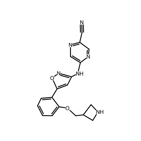 N#Cc1cnc(Nc2cc(-c3ccccc3OCC3CNC3)on2)cn1